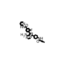 CC#CC(=O)NC1CC=C(c2nc(-c3ccc(C(=O)Nc4ccccn4)cc3F)c3c(N)nccn23)CC1